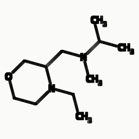 CCN1CCOCC1CN(C)C(C)C